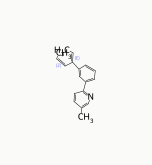 C/C=C\C(=C/C)c1cccc(-c2ccc(C)cn2)c1